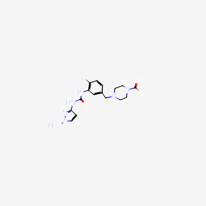 COC(=O)N1CCN(Cc2ccc(F)c(NC(=O)Nc3ccn(C)n3)c2)CC1